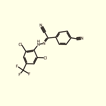 N#CC(=NNc1c(Cl)cc(C(F)(F)F)cc1Cl)c1ccc(C#N)cc1